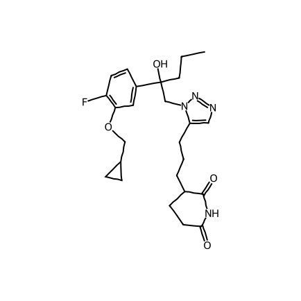 CCCC(O)(Cn1nncc1CCCC1CCC(=O)NC1=O)c1ccc(F)c(OCC2CC2)c1